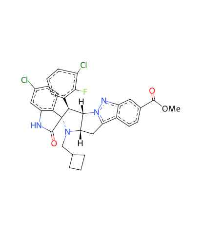 COC(=O)c1ccc2c3n(nc2c1)[C@@H]1[C@H](C3)N(CC2CCC2)[C@@]2(C(=O)Nc3cc(Cl)ccc32)[C@H]1c1cccc(Cl)c1F